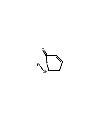 CCO.O=C1C=CCCC1